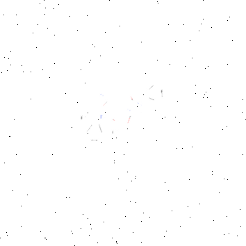 CC(C)c1cccc(C(C)C)c1NC(=O)C(CC(N)=O)N1C(=O)N(c2ccccc2F)C2(CCCCC2)C1=O